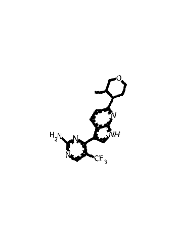 CC1COCCC1c1ccc2c(-c3nc(N)ncc3C(F)(F)F)c[nH]c2n1